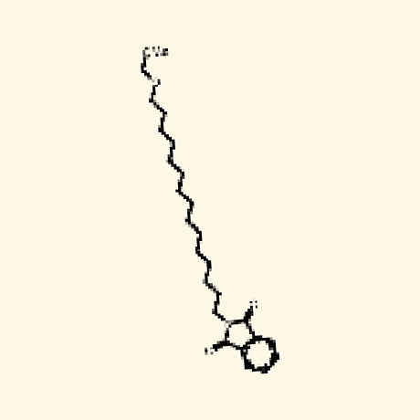 COCOCCCCCCCCCCCCCCCN1C(=O)c2ccccc2C1=O